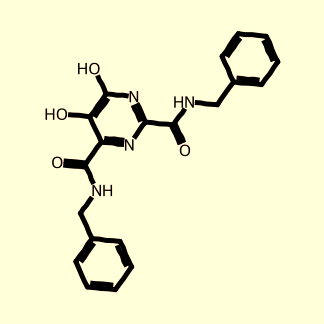 O=C(NCc1ccccc1)c1nc(O)c(O)c(C(=O)NCc2ccccc2)n1